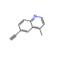 C#Cc1ccc2nccc(C)c2c1